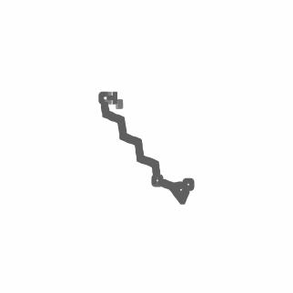 CCCCCCCOC1CO1